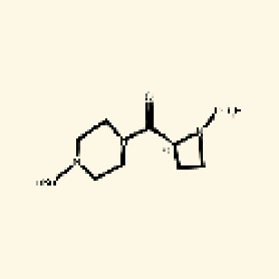 CCCCN1CCN(C(=O)[C@@H]2CCN2C(=O)O)CC1